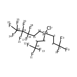 FC(F)(F)CC[Si](Cl)(CCC(F)(F)F)CCC(F)(F)C(F)(F)C(F)(F)F